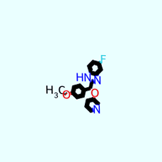 COc1ccc(C(Oc2cccnc2)c2nc3cc(F)ccc3[nH]2)cc1